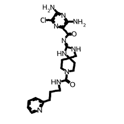 Nc1nc(N)c(C(=O)/N=C2\NCC3(CCN(C(=O)NCCCc4ccccn4)CC3)N2)nc1Cl